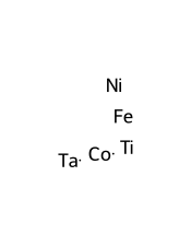 [Co].[Fe].[Ni].[Ta].[Ti]